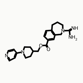 N=C(N)N1CCCc2ccc(C(=O)OCC3CCN(c4ccncc4)CC3)cc2C1